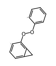 [c]1ccccc1OOc1[c]ccc2c1C2